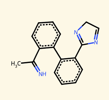 CC(=N)c1ccccc1-c1ccccc1C1=NCC=N1